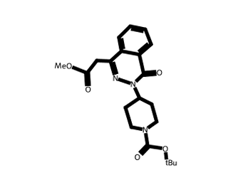 COC(=O)Cc1nn(C2CCN(C(=O)OC(C)(C)C)CC2)c(=O)c2ccccc12